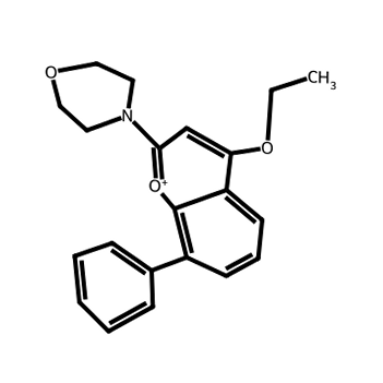 CCOc1cc(N2CCOCC2)[o+]c2c(-c3ccccc3)cccc12